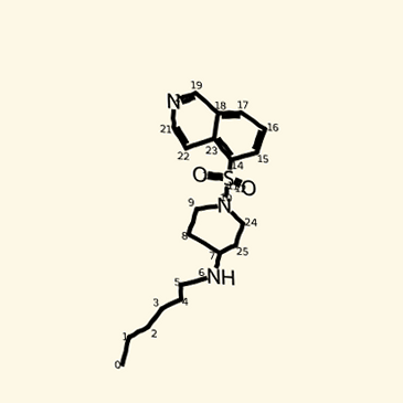 CCCCCCNC1CCN(S(=O)(=O)c2cccc3cnccc23)CC1